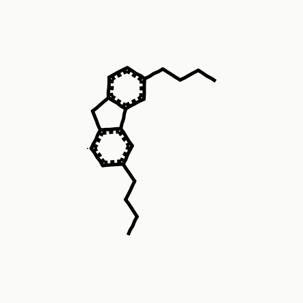 CCCCc1c[c]c2c(c1)-c1cc(CCCC)ccc1C2